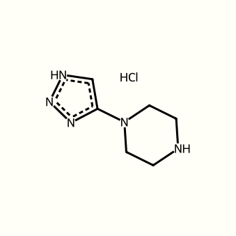 Cl.c1[nH]nnc1N1CCNCC1